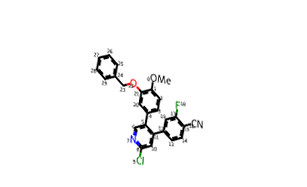 COc1ccc(-c2cnc(Cl)cc2-c2ccc(C#N)c(F)c2)cc1OCc1ccccc1